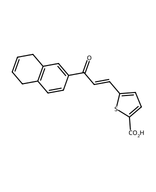 O=C(/C=C/c1ccc(C(=O)O)s1)c1ccc2c(c1)CC=CC2